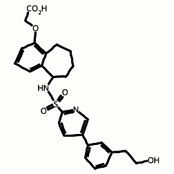 O=C(O)COc1cccc2c1CCCCC2NS(=O)(=O)c1ccc(-c2cccc(CCO)c2)cn1